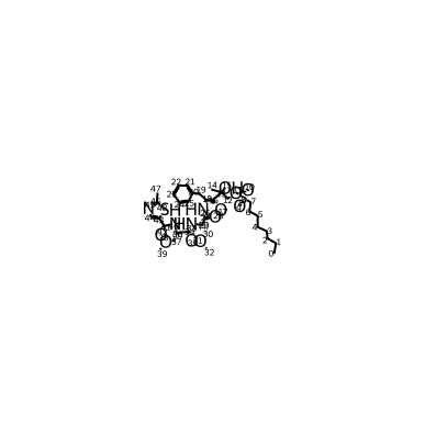 CCCCCCCCS(=O)(=O)OCC(C)(O)C(=O)C(Cc1ccccc1)NC(=O)[C@H](COC)NC(=O)[C@H](COC)NC(=O)c1cnc(C)s1